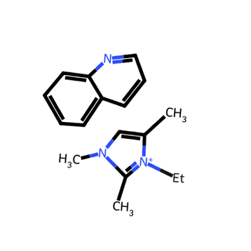 CC[n+]1c(C)cn(C)c1C.c1ccc2ncccc2c1